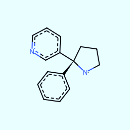 c1ccc([C@@]2(c3cccnc3)CCC[N]2)cc1